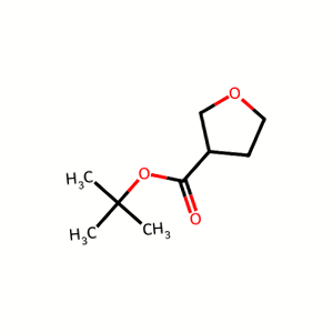 CC(C)(C)OC(=O)C1CCOC1